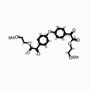 COCCOC(=O)C(=O)c1ccc(Oc2ccc(C(=O)C(=O)OCCOC)cc2)cc1